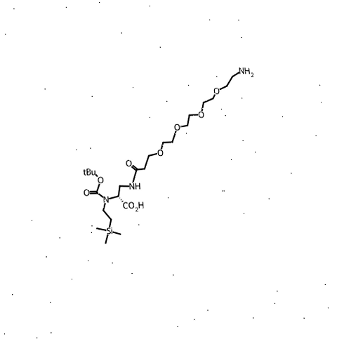 CC(C)(C)OC(=O)N(CC[Si](C)(C)C)[C@H](CNC(=O)CCOCCOCCOCCOCCN)C(=O)O